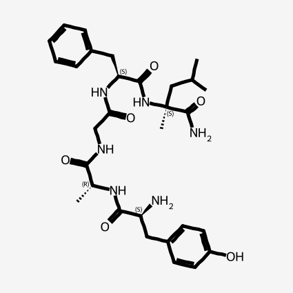 CC(C)C[C@](C)(NC(=O)[C@H](Cc1ccccc1)NC(=O)CNC(=O)[C@@H](C)NC(=O)[C@@H](N)Cc1ccc(O)cc1)C(N)=O